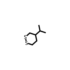 CC(C)C1CCSSC1